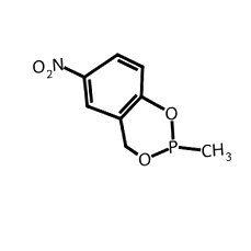 CP1OCc2cc([N+](=O)[O-])ccc2O1